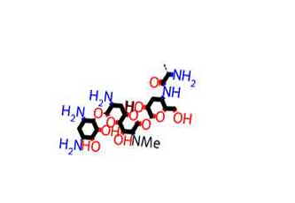 CNC1C(O[C@H]2OC(CO)C(NC(=O)[C@H](C)N)CC2O)O[C@H]2CC(N)[C@@H](O[C@@H]3C(N)C[C@@H](N)C(O)C3O)OC2C1O